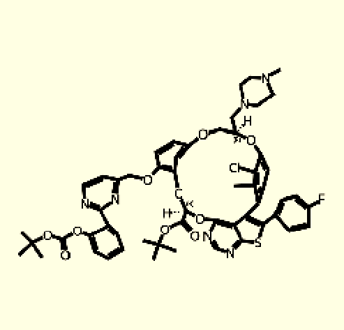 Cc1c2ccc(c1Cl)O[C@H](CN1CCN(C)CC1)COc1ccc(OCc3ccnc(-c4ccccc4OC(=O)OC(C)(C)C)n3)c(c1)C[C@H](C(=O)OC(C)(C)C)Oc1ncnc3sc(-c4ccc(F)cc4)c-2c13